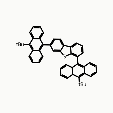 CC(C)(C)C1=c2ccccc2=C(c2cccc3c2sc2cc(-c4c5ccccc5c(C(C)(C)C)c5ccccc45)ccc23)C2C=CC=CC12